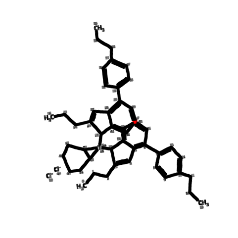 CCCC1=Cc2c(-c3ccc(CCC)cc3)cccc2[CH]1[Ti+2]1([CH]2C(CCC)=Cc3c(-c4ccc(CCC)cc4)cccc32)[CH]2CCCC[CH]21.[Cl-].[Cl-]